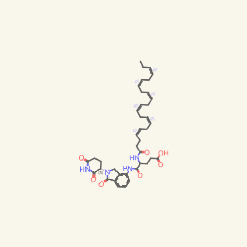 CC/C=C\C/C=C\C/C=C\C/C=C\C/C=C\C/C=C\CCC(=O)NC(CCC(=O)O)C(=O)Nc1cccc2c1CN([C@H]1CCC(=O)NC1=O)C2=O